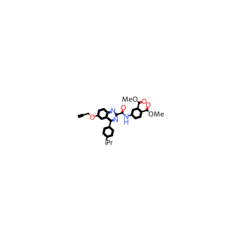 C#CCOc1ccc2nc(C(=O)Nc3ccc(C(=O)OC)c(C(=O)OC)c3)nc(-c3ccc(C(C)C)cc3)c2c1